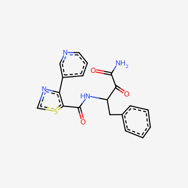 NC(=O)C(=O)C(Cc1ccccc1)NC(=O)c1scnc1-c1cccnc1